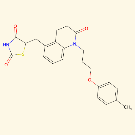 Cc1ccc(OCCCN2C(=O)CCc3c(CC4SC(=O)NC4=O)cccc32)cc1